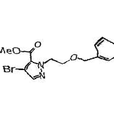 COC(=O)c1c(Br)cnn1CCOCc1ccccc1